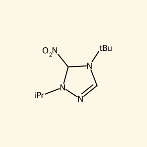 CC(C)N1N=CN(C(C)(C)C)C1[N+](=O)[O-]